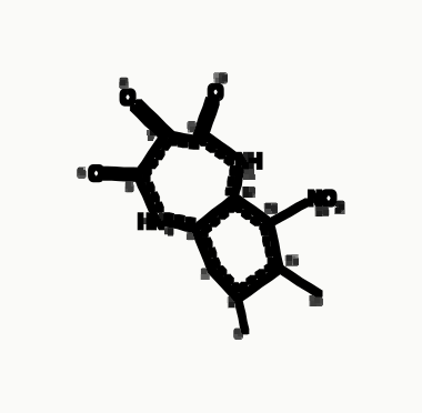 Cc1cc2[nH]c(=O)c(=O)c(=O)[nH]c2c([N+](=O)[O-])c1C